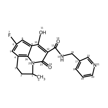 CC1CCc2cc(F)cc3c(O)c(C(=O)NCc4cccnc4)c(=O)n1c23